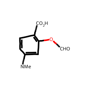 CNc1ccc(C(=O)O)c(OC=O)c1